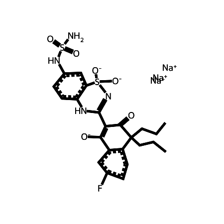 CCCC1(CCC)C(=O)C(C2=NS([O-])([O-])c3cc(NS(N)(=O)=O)ccc3N2)=C([O-])c2cc(F)ccc21.[Na+].[Na+].[Na+]